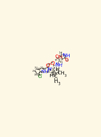 CC1(C)[C@@H]2[C@@H](C(=O)N[C@H](CO)C[C@@H]3CCNC3=O)N(C(=O)c3cc4cccc(Cl)c4[nH]3)C[C@@H]21